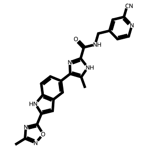 Cc1noc(-c2cc3cc(-c4nc(C(=O)NCc5ccnc(C#N)c5)[nH]c4C)ccc3[nH]2)n1